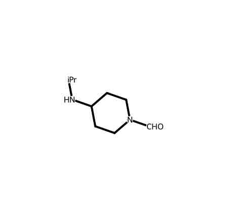 CC(C)NC1CCN(C=O)CC1